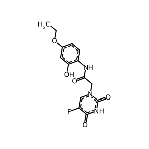 CCOc1ccc(NC(=O)Cn2cc(F)c(=O)[nH]c2=O)c(O)c1